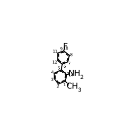 Cc1cccc(-c2ccc(F)cc2)c1N